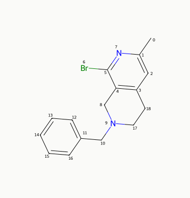 Cc1cc2c(c(Br)n1)CN(Cc1ccccc1)CC2